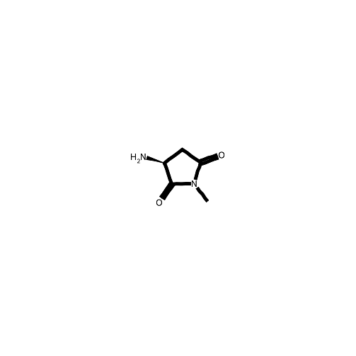 CN1C(=O)C[C@H](N)C1=O